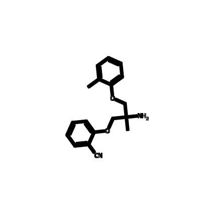 Cc1ccccc1OCC(C)(N)COc1ccccc1C#N